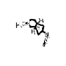 CN1CC[C@@H]2CC(N=[N+]=[N-])C[C@@H]2C1